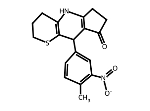 Cc1ccc(C2C3=C(CCCS3)NC3=C2C(=O)CC3)cc1[N+](=O)[O-]